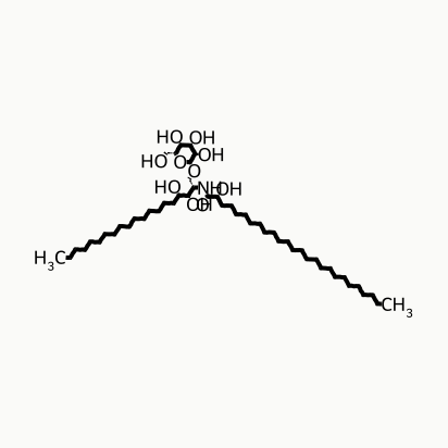 CCCCCCCCCCCCCCCCCCCCCCCC[C@@H](O)C(=O)N[C@@H](CO[C@H]1O[C@H](CO)[C@H](O)[C@H](O)[C@H]1O)[C@H](O)[C@H](O)CCCCCCCCCCCCCCCC